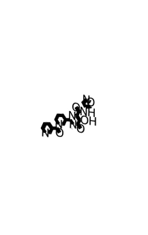 Cn1c(C2CCCN(C(=O)c3cccnc3)C2)nc(C(=O)Nc2cnoc2)c(O)c1=O